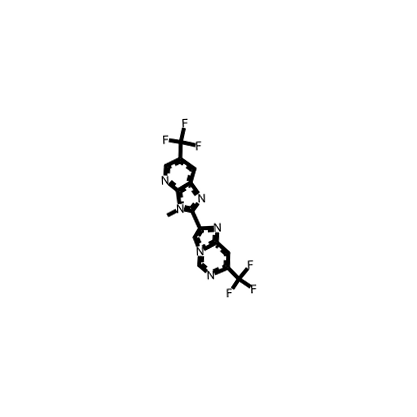 Cn1c(-c2cn3cnc(C(F)(F)F)cc3n2)nc2cc(C(F)(F)F)cnc21